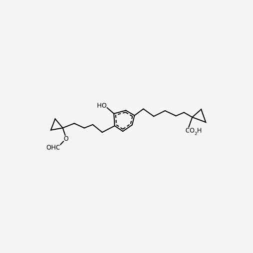 O=COC1(CCCCc2ccc(CCCCCC3(C(=O)O)CC3)cc2O)CC1